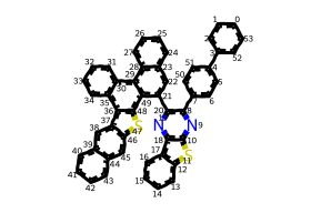 c1ccc(-c2ccc(-c3nc4sc5ccccc5c4nc3-c3cc4ccccc4c4c5ccccc5c5c6cc7ccccc7cc6sc5c34)cc2)cc1